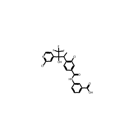 CC(c1ccc(C(=O)Nc2cccc(C(=O)O)c2)cc1Cl)C(O)(c1ccnc(Cl)c1)C(F)(F)F